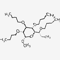 CCCCO[C@H]1[C@H](OCCCC)[C@@H]([C@@H](CC)OCCCC)O[C@H](OC)[C@@H]1OCCCC